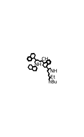 CCCC/C=C(/C=C/C=C(\C=N)C1=c2ccccc2=C(/C(C)=C/C=C(\CNC2=C3CCCCC3CC=C2)C2CC=Cc3ccccc32)CC1)CC